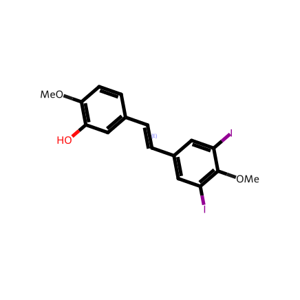 COc1ccc(/C=C/c2cc(I)c(OC)c(I)c2)cc1O